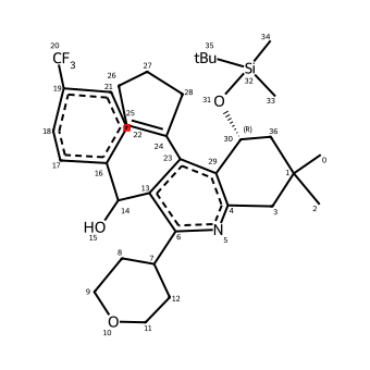 CC1(C)Cc2nc(C3CCOCC3)c(C(O)c3ccc(C(F)(F)F)cc3)c(C3=CCCC3)c2[C@H](O[Si](C)(C)C(C)(C)C)C1